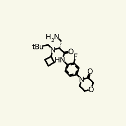 CC(C)(C)CN(C1CCC1)[C@H](CN)C(=O)Nc1ccc(N2CCOCC2=O)cc1F